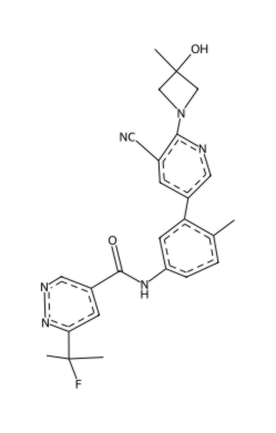 Cc1ccc(NC(=O)c2cnnc(C(C)(C)F)c2)cc1-c1cnc(N2CC(C)(O)C2)c(C#N)c1